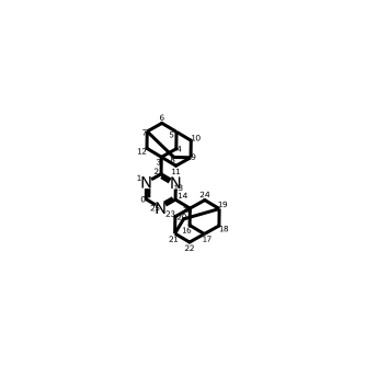 c1nc(C23CC4CC(CC(C4)C2)C3)nc(C23CC4CC(CC(C4)C2)C3)n1